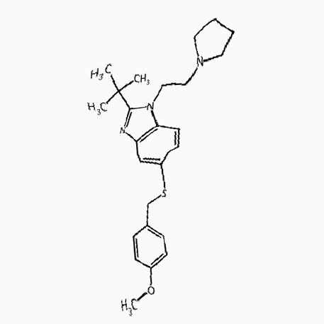 COc1ccc(CSc2ccc3c(c2)nc(C(C)(C)C)n3CCN2CCCC2)cc1